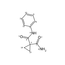 NC(=O)C1(C(=O)Nc2ccccc2)CC1